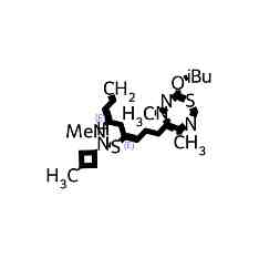 C=C/C=C(\C/C(=C\CCc1c(C)ncsc(OC(C)CC)nn1C)SN[C@H]1C[C@@H](C)C1)NC